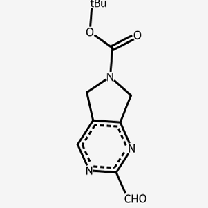 CC(C)(C)OC(=O)N1Cc2cnc(C=O)nc2C1